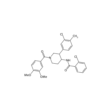 COc1ccc(C(=O)N2CCC(NC(=O)c3ccccc3Cl)C(c3ccc(C)c(Cl)c3)C2)cc1OC